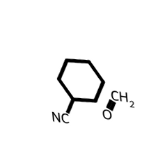 C=O.N#CC1CCCCC1